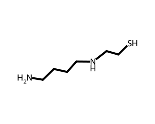 NCCCCNCCS